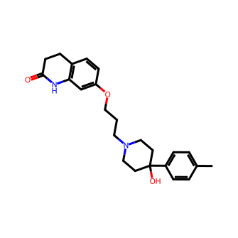 Cc1ccc(C2(O)CCN(CCCOc3ccc4c(c3)NC(=O)CC4)CC2)cc1